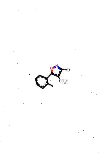 CCc1noc(-c2ccccc2C)c1C(=O)O